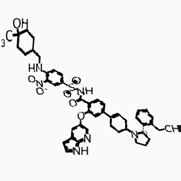 CCc1ccccc1[C@@H]1CCCN1C1CC=C(c2ccc(C(=O)NS(=O)(=O)c3ccc(NCC4CCC(C)(O)CC4)c([N+](=O)[O-])c3)c(Oc3cnc4[nH]ccc4c3)c2)CC1